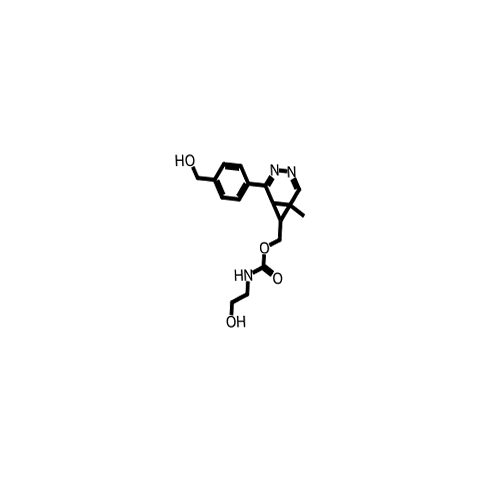 CC12C=NN=C(c3ccc(CO)cc3)C1C2COC(=O)NCCO